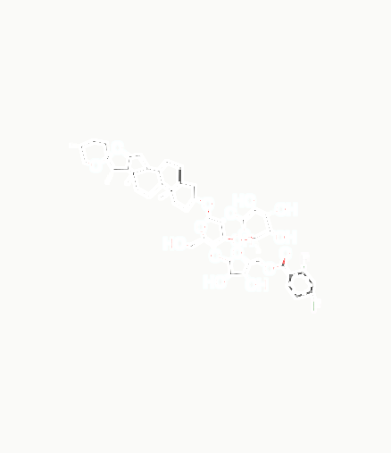 C[C@@H]1CC[C@@]2(OC1)OC1CC3C4CC=C5C[C@@H](O[C@@H]6O[C@H](CO)[C@@H](OC7O[C@@H](COC(=O)c8ccc(F)cc8F)[C@H](O)[C@H]7O)[C@H](O)[C@H]6OC6O[C@@H](C)[C@H](O)[C@@H](O)[C@H]6O)CC[C@]5(C)C4CC[C@]3(C)C1[C@@H]2C